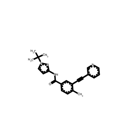 Cc1ccc(C(=O)Nc2ccn(C(C)(C)C)n2)cc1C#Cc1cccnc1